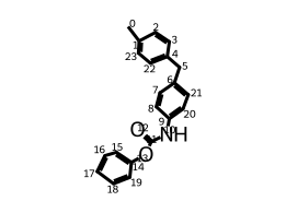 Cc1ccc(Cc2ccc(NC(=O)Oc3ccccc3)cc2)cc1